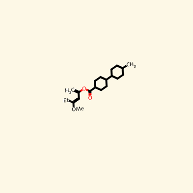 C=C(/C=C(\CC)OC)OC(=O)C1CCC(C2CCC(C)CC2)CC1